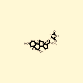 C[C@H](C[C@@H]1SC(=O)NC1=O)C1CCC2C3C(CC[C@@]21C)[C@@]1(C)CC[C@@H](O)C[C@H]1C[C@H]3O